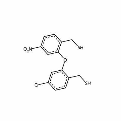 O=[N+]([O-])c1ccc(CS)c(Oc2cc(Cl)ccc2CS)c1